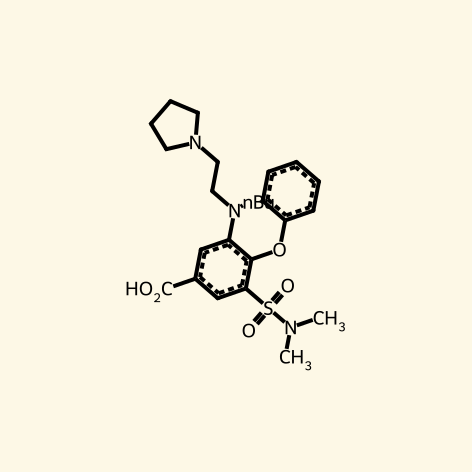 CCCCN(CCN1CCCC1)c1cc(C(=O)O)cc(S(=O)(=O)N(C)C)c1Oc1ccccc1